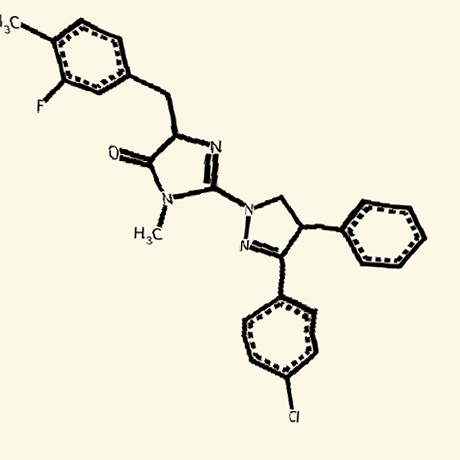 Cc1ccc(CC2N=C(N3CC(c4ccccc4)C(c4ccc(Cl)cc4)=N3)N(C)C2=O)cc1F